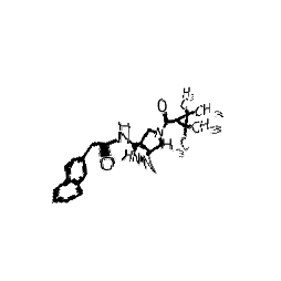 CC1(C)C(C(=O)N2Cc3n[nH]c(NC(=O)Cc4ccc5ccccc5c4)c3C2)C1(C)C